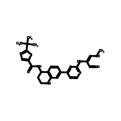 CN/C=C(\C=N)Nc1nccc(-c2ccc3c(c2)NCCC3NC(=O)c2cnc(C(C)(C)C)s2)n1